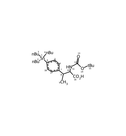 CCC[CH2][Sn]([CH2]CCC)([CH2]CCC)[c]1ccc(C(C)C(NC(=O)OC(C)(C)C)C(=O)O)cc1